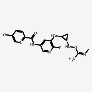 C/N=C(/N)ON[C@@H]1C[C@@H]1Nc1cc(NC(=O)c2ccc(Cl)cn2)cnc1F